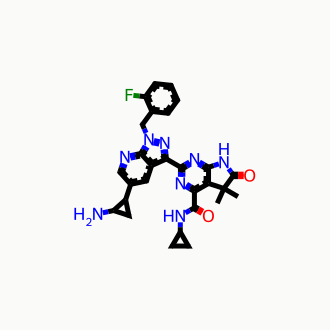 CC1(C)C(=O)Nc2nc(-c3nn(Cc4ccccc4F)c4ncc(C5CC5N)cc34)nc(C(=O)NC3CC3)c21